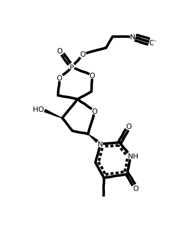 [C-]#[N+]CCOP1(=O)OCC2(CO1)O[C@@H](n1cc(C)c(=O)[nH]c1=O)C[C@H]2O